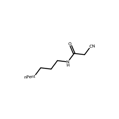 CCCCCCCCNC(=O)CC#N